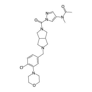 CC(=O)N(C)c1cnn(C(=O)N2CC3CN(Cc4ccc(Cl)c(N5CCOCC5)c4)CC3C2)c1